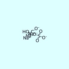 O=C([O-])O.O=S(=O)([O-])[O-].[Na+].[Na+].[Na+]